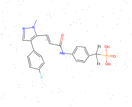 CCC(CC)(c1ccc(NC(=O)/C=C/c2c(-c3ccc(F)cc3)cnn2C)cc1)P(=O)(O)O